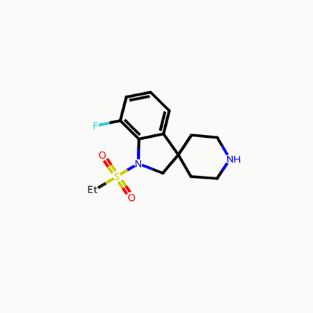 CCS(=O)(=O)N1CC2(CCNCC2)c2cccc(F)c21